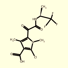 Cc1c(C(=O)O)c(Cl)n(C)c1C(=O)C(=O)N[C@@H](C)C(F)(F)F